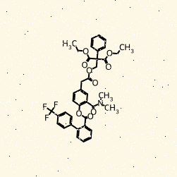 CCOC(=O)C(COC(=O)Cc1ccc(OC(=O)c2ccccc2-c2ccc(C(F)(F)F)cc2)c(C(=O)N(C)C)c1)(C(=O)OCC)c1ccccc1